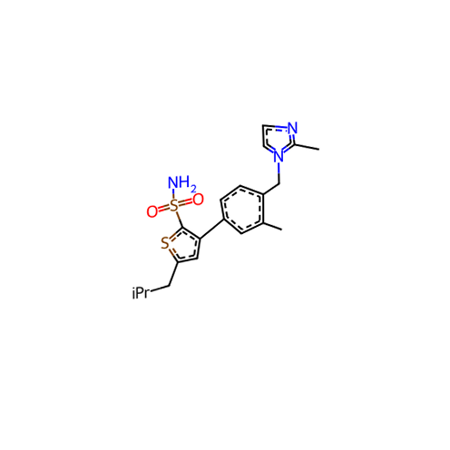 Cc1cc(-c2cc(CC(C)C)sc2S(N)(=O)=O)ccc1Cn1ccnc1C